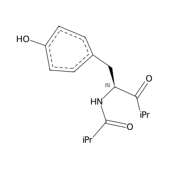 CC(C)C(=O)N[C@@H](Cc1ccc(O)cc1)C(=O)C(C)C